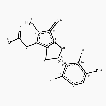 Cn1c(CC(=O)O)c2n(c1=S)C[C@H](c1c(F)ccc(F)c1F)C2